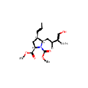 CC=C[C@@H]1C[C@H](C(=O)OC(C)(C)C)N(C(=O)OC(C)(C)C)[C@@H]1CC(CC)C(=CO)NC(C)=O